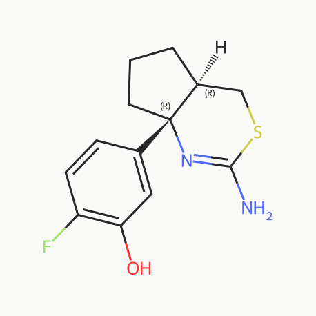 NC1=N[C@]2(c3ccc(F)c(O)c3)CCC[C@H]2CS1